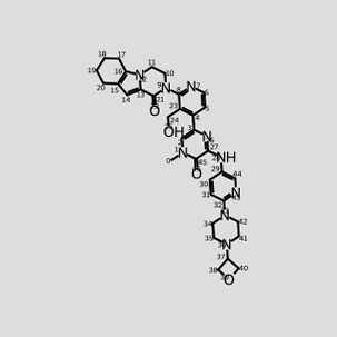 Cn1cc(-c2ccnc(N3CCn4c(cc5c4CCCC5)C3=O)c2CO)nc(Nc2ccc(N3CCN(C4COC4)CC3)nc2)c1=O